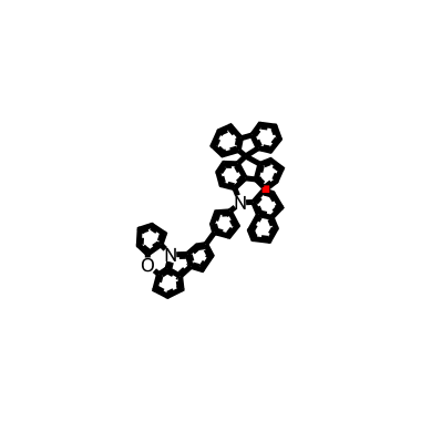 c1ccc2c(c1)Oc1cccc3c4ccc(-c5ccc(N(c6cccc7c6-c6ccccc6C76c7ccccc7-c7ccccc76)c6cccc7ccccc67)cc5)cc4n-2c13